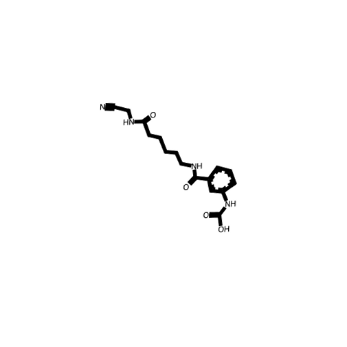 N#CCNC(=O)CCCCCNC(=O)c1cccc(NC(=O)O)c1